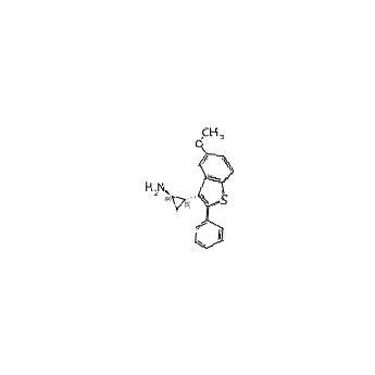 COc1ccc2sc(-c3ccccc3)c([C@@H]3C[C@H]3N)c2c1